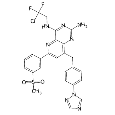 CS(=O)(=O)c1cccc(-c2cc(Cc3ccc(-n4cncn4)cc3)c3nc(N)nc(NCC(F)(F)Cl)c3n2)c1